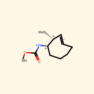 CN[C@@H]1/C=C/CCCC[C@H]1NC(=O)OC(C)(C)C